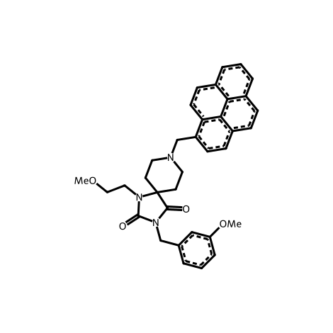 COCCN1C(=O)N(Cc2cccc(OC)c2)C(=O)C12CCN(Cc1ccc3ccc4cccc5ccc1c3c45)CC2